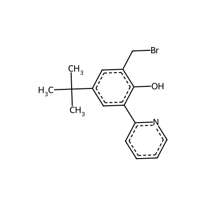 CC(C)(C)c1cc(CBr)c(O)c(-c2ccccn2)c1